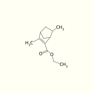 CCOC(=O)C1=C(C)C2CC(C)C1C2